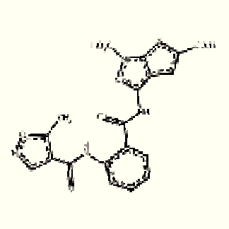 Cc1oncc1C(=O)Nc1ccccc1C(=O)Nc1nn(C(=O)O)c2sc(C(=O)O)cc12